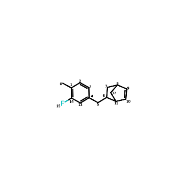 Cc1ccc(CC2CC3C=CC2C3)cc1F